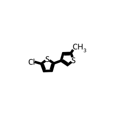 Cc1cc(-c2ccc(Cl)s2)cs1